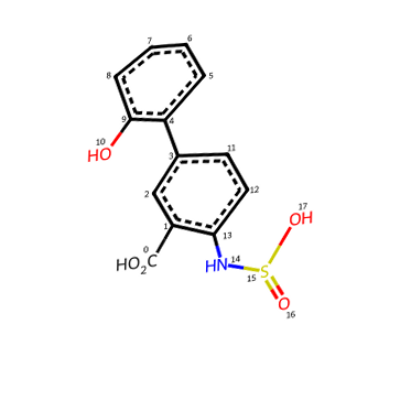 O=C(O)c1cc(-c2ccccc2O)ccc1NS(=O)O